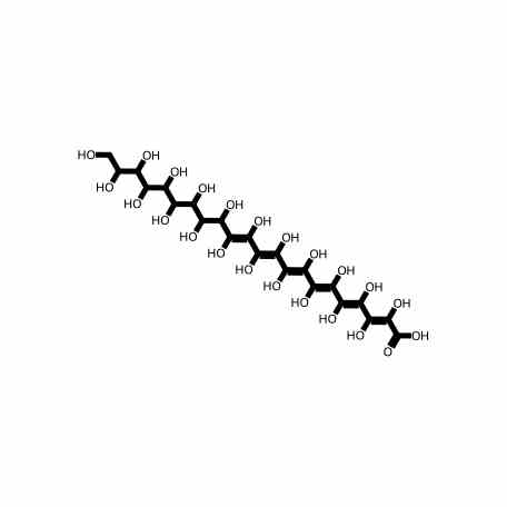 O=C(O)/C(O)=C(O)/C(O)=C(O)/C(O)=C(O)/C(O)=C(O)/C(O)=C(O)/C(O)=C(\O)C(O)C(O)C(O)C(O)C(O)C(O)C(O)C(O)CO